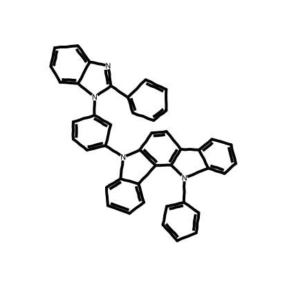 c1ccc(-c2nc3ccccc3n2-c2cccc(-n3c4ccccc4c4c3ccc3c5ccccc5n(-c5ccccc5)c34)c2)cc1